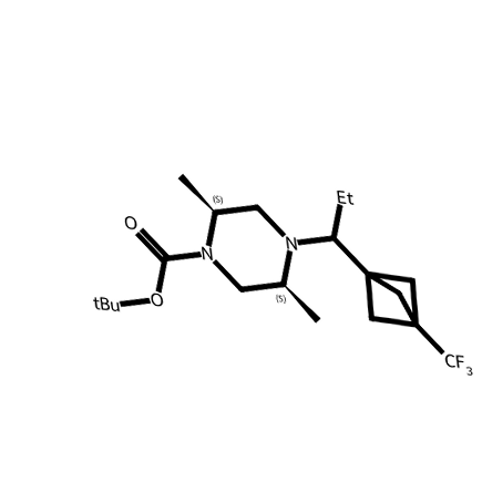 CCC(N1C[C@H](C)N(C(=O)OC(C)(C)C)C[C@@H]1C)C12CC(C(F)(F)F)(C1)C2